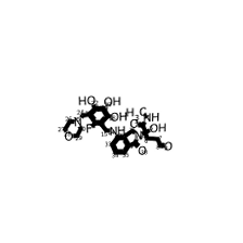 CNC(=O)C(O)(CCC=O)N1Cc2c(NCc3c(O)c(O)c(O)c(CN4CCOCC4)c3F)cccc2C1=O